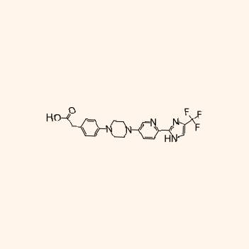 O=C(O)Cc1ccc(N2CCN(c3ccc(-c4nc(C(F)(F)F)c[nH]4)nc3)CC2)cc1